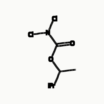 CC(C)C(C)OC(=O)N(Cl)Cl